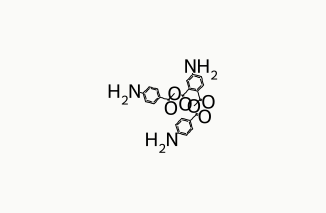 Nc1ccc(C(=O)OC(=O)c2ccc(N)cc2C(=O)OC(=O)c2ccc(N)cc2)cc1